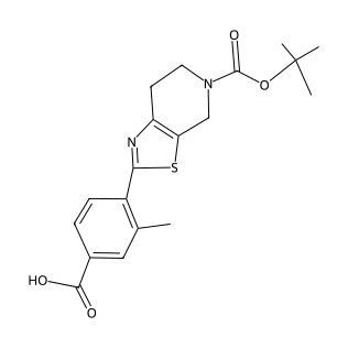 Cc1cc(C(=O)O)ccc1-c1nc2c(s1)CN(C(=O)OC(C)(C)C)CC2